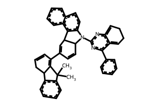 CC1(C)C2=C(C3=CC4c5c(ccc6ccccc56)N(c5nc(-c6ccccc6)c6c(n5)=CCCC=6)C4C=C3)C=CCC2c2ccccc21